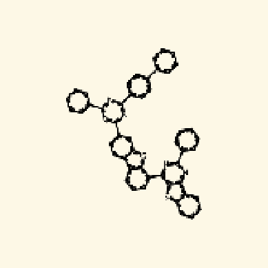 c1ccc(-c2ccc(-c3nc(-c4ccccc4)nc(-c4ccc5c(c4)sc4c(-c6nc(-c7ccccc7)nc7c6sc6ccccc67)cccc45)n3)cc2)cc1